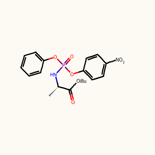 CC(C)COC(=O)[C@H](C)NP(=O)(Oc1ccccc1)Oc1ccc([N+](=O)[O-])cc1